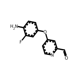 Nc1ccc(Oc2ccnc(C=O)c2)cc1F